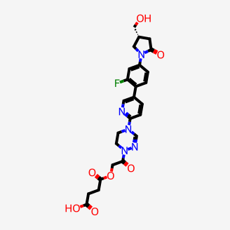 O=C(O)CCC(=O)OCC(=O)N1CCN(c2ccc(-c3ccc(N4C[C@H](CO)CC4=O)cc3F)cn2)C=N1